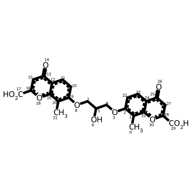 Cc1c(OCC(O)COc2ccc3c(=O)cc(C(=O)O)oc3c2C)ccc2c(=O)cc(C(=O)O)oc12